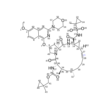 COc1ccc2c(O[C@@H]3C[C@H]4C(=O)N[C@]5(C(=O)NS(=O)(=O)C6(C)CC6)C[C@H]5/C=C\CC[C@H](C)C[C@@H](C)[C@H](NC(=O)OCC5(C)CC5)C(=O)N4C3)nc(N3CCOCC3)cc2c1